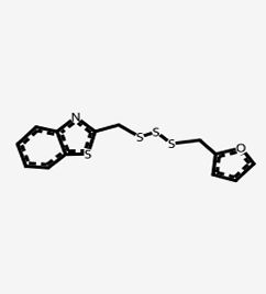 c1coc(CSSSCc2nc3ccccc3s2)c1